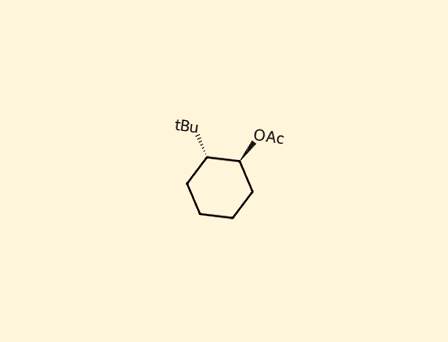 CC(=O)O[C@H]1CCCC[C@@H]1C(C)(C)C